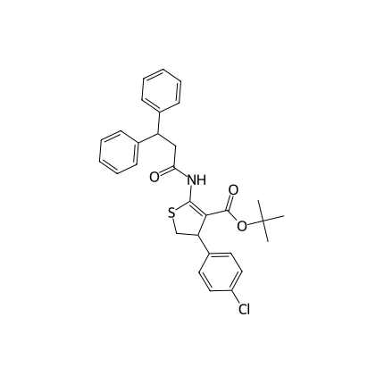 CC(C)(C)OC(=O)C1=C(NC(=O)CC(c2ccccc2)c2ccccc2)SCC1c1ccc(Cl)cc1